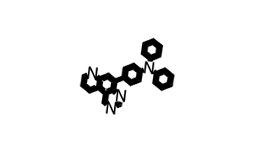 c1ccc(N(c2ccccc2)c2ccc(-c3cc4ncccc4c4cncnc34)cc2)cc1